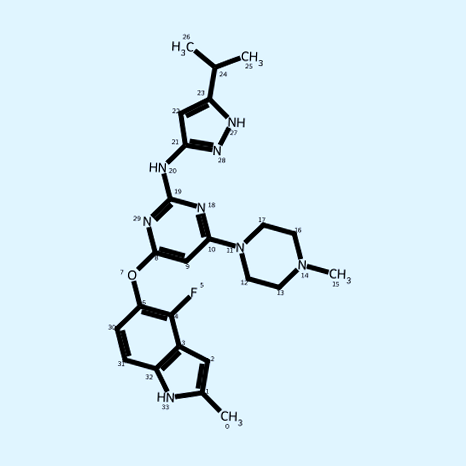 Cc1cc2c(F)c(Oc3cc(N4CCN(C)CC4)nc(Nc4cc(C(C)C)[nH]n4)n3)ccc2[nH]1